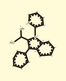 CCCC(O)c1c(-c2ccccc2)c2ccccc2n1-c1ccccn1